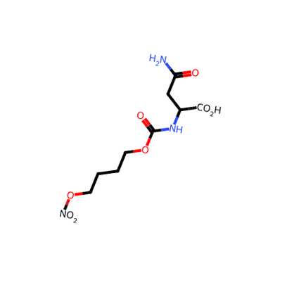 NC(=O)CC(NC(=O)OCCCCO[N+](=O)[O-])C(=O)O